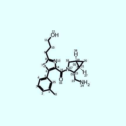 Cc1cccc(-c2sc(CCCO)nc2C(=O)N2C[C@H]3C[C@H]3[C@H]2CN)c1